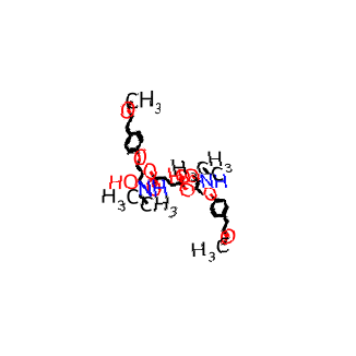 COCCc1ccc(OCC(OC(=O)CCC(=O)OC(COc2ccc(CCOC)cc2)C(O)NC(C)C)C(O)NC(C)C)cc1